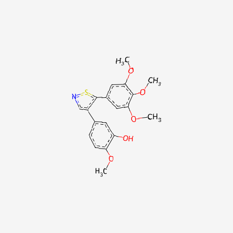 COc1ccc(-c2cnsc2-c2cc(OC)c(OC)c(OC)c2)cc1O